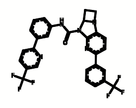 O=C(Nc1cccc(-c2ccc(C(F)(F)F)cn2)c1)N1c2nc(-c3cccc(C(F)(F)F)c3)ccc2N2CCC21